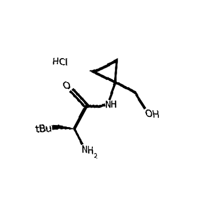 CC(C)(C)[C@H](N)C(=O)NC1(CO)CC1.Cl